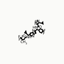 C[C@@H](CC(=O)NC(c1cnn2cc([C@@H](NC(=O)c3nonc3C3CC3)C3CCC(F)(F)CC3)nc2c1)C1CC1)C(F)(F)F